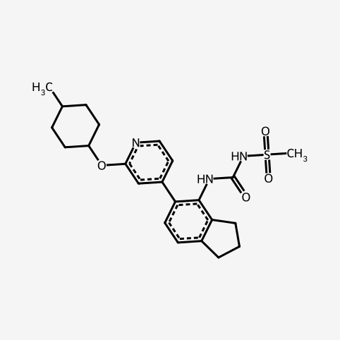 CC1CCC(Oc2cc(-c3ccc4c(c3NC(=O)NS(C)(=O)=O)CCC4)ccn2)CC1